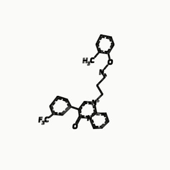 Cc1ccccc1ON=CCC[n+]1cc(-c2cccc(C(F)(F)F)c2)c(=O)n2ccccc21